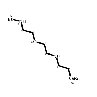 CCNCCOCCOCCOCC(C)C